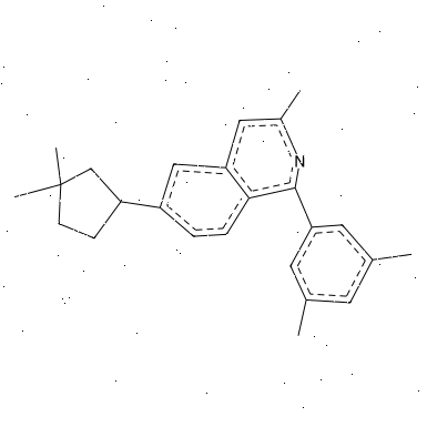 Cc1cc(C)cc(-c2nc(C)cc3cc(C4CCC(C)(C)C4)ccc23)c1